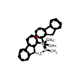 CC(=O)[O][Ti]([O]C(C)=O)([c]1cccc2c1Cc1ccccc1-2)([c]1cccc2c1Cc1ccccc1-2)=[Si](C)C